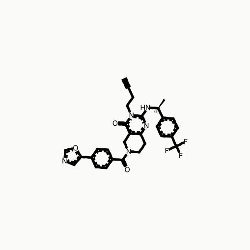 C#CCCn1c(N[C@@H](C)c2ccc(C(F)(F)F)cc2)nc2c(c1=O)CN(C(=O)c1ccc(-c3cnco3)cc1)CC2